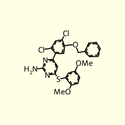 COc1ccc(OC)c(Sc2cc(-c3cc(OCc4ccccc4)c(Cl)cc3Cl)nc(N)n2)c1